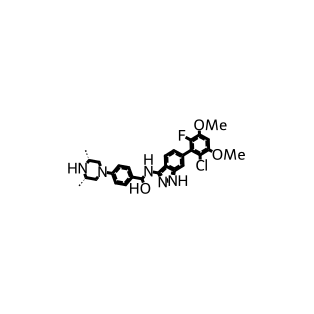 COc1cc(OC)c(Cl)c(-c2ccc3c(NC(O)c4ccc(N5C[C@@H](C)N[C@@H](C)C5)cc4)n[nH]c3c2)c1F